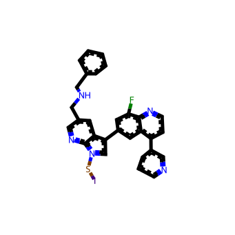 Fc1cc(-c2cn(SI)c3ncc(CNCc4ccccc4)cc23)cc2c(-c3cccnc3)ccnc12